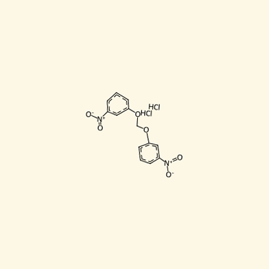 Cl.Cl.O=[N+]([O-])c1cccc(OCOc2cccc([N+](=O)[O-])c2)c1